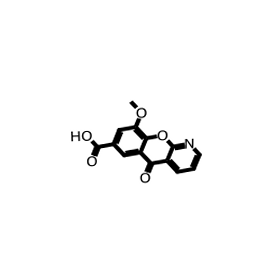 COc1cc(C(=O)O)cc2c(=O)c3cccnc3oc12